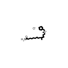 CC(=CCC[N+](C)(C)Cc1ccccc1)CCCCCCCCC(N)=O.[Cl-]